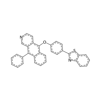 c1ccc(-c2c3ccccc3c(Oc3ccc(-c4nc5ccccc5s4)cc3)c3ccncc23)cc1